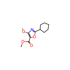 COC(=O)c1oc(C2CCCCC2)nc1OC